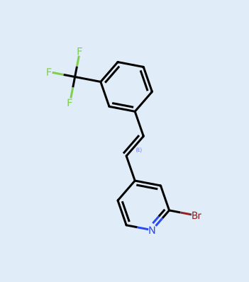 FC(F)(F)c1cccc(/C=C/c2ccnc(Br)c2)c1